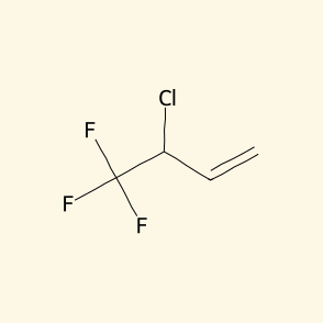 C=CC(Cl)C(F)(F)F